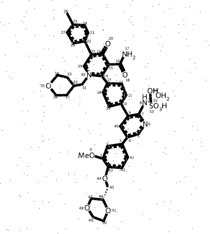 COc1cc(-c2cnc(N)c(-c3ccc(-c4c(C(N)=O)c(=O)c(-c5ccc(C)cc5)cn4CC4CCOCC4)cc3)c2)ccc1OC[C@H]1COCCO1.O.O=S(=O)(O)O